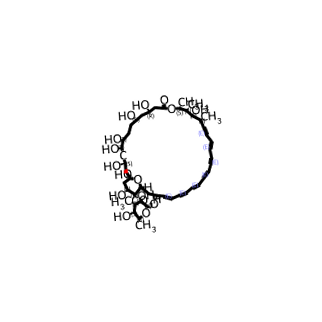 C[C@@H]1[C@H](O)[C@H](O[C@H]2/C=C/C=C/C=C/C=C/C=C/C=C/C=C/[C@H](C)[C@@H](O)[C@@H](C)[C@H](C)OC(=O)C[C@H](O)C[C@H](O)CC[C@@H](O)[C@H](O)C[C@H](O)C[C@]3(O)C[C@H](O)[C@@H](C(=O)O)[C@@H](C2)O3)O[C@H](C)[C@H]1O